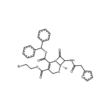 O=C(Cc1cccs1)NC1C(=O)N2C(C(=O)OC(c3ccccc3)c3ccccc3)=C(C(=O)OCCBr)CS[C@H]12